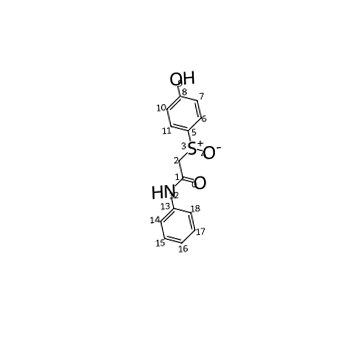 O=C(C[S+]([O-])c1ccc(O)cc1)Nc1ccccc1